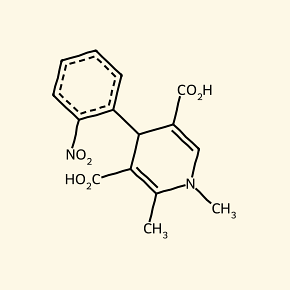 CC1=C(C(=O)O)C(c2ccccc2[N+](=O)[O-])C(C(=O)O)=CN1C